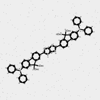 CCCCCCCCCCC1(CCCCCCCCCC)c2cc(-c3nc4sc(-c5ccc6c(c5)C(CCCCCCCCCC)(CCCCCCCCCC)c5cc(N(c7ccccc7)c7ccccc7)ccc5-6)nc4s3)ccc2-c2ccc(N(c3ccccc3)c3ccccc3)cc21